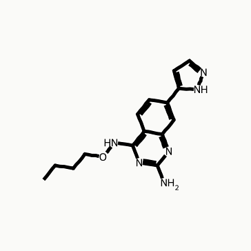 CCCCONc1nc(N)nc2cc(-c3ccn[nH]3)ccc12